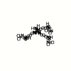 CN1Cc2c(Cl)cc(Cl)cc2[C@H](c2cccc(S(=O)(=O)NCCOCCOCCOCCN/C(=C\N=N)CN(Cc3cn(CCOCCOCCOCCNS(=O)(=O)c4cccc([C@@H]5CN(C)Cc6c(Cl)cc(Cl)cc65)c4)nn3)Cc3cn(CCOCCOCCOCCNS(=O)(=O)c4cccc([C@@H]5CN(C)Cc6c(Cl)cc(Cl)cc65)c4)nn3)c2)C1